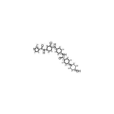 Cn1nccc1C(=O)Nc1ccc(Nc2ccc(NC(=O)c3ccc(N4CCC(O)CC4)cc3)cc2)c(Cl)c1